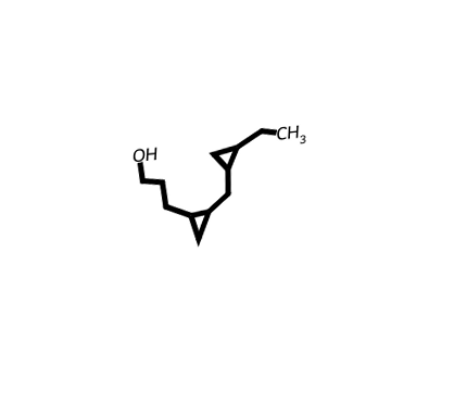 CCC1CC1CC1CC1CCCO